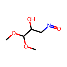 COC(OC)C(O)CN=O